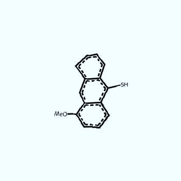 COc1cccc2c(S)c3ccccc3cc12